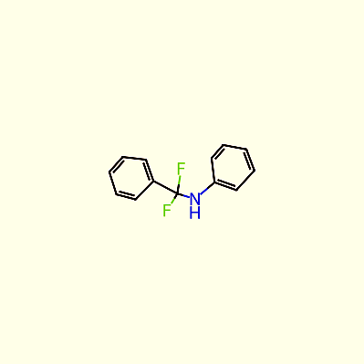 FC(F)(Nc1ccccc1)c1ccccc1